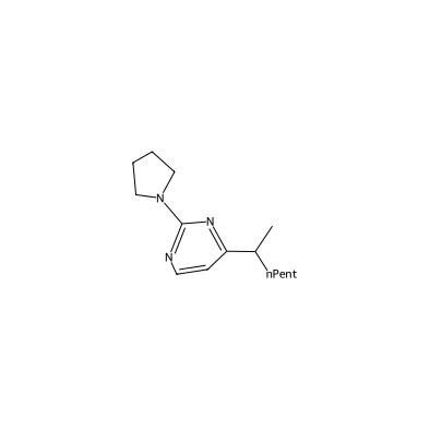 CCCCCC(C)c1ccnc(N2CCCC2)n1